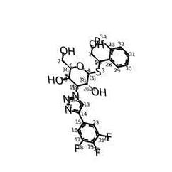 OC[C@H](S[C@@H]1O[C@H](CO)[C@H](O)[C@H](n2cc(-c3cc(F)c(F)c(F)c3)nn2)[C@H]1O)c1ccccc1Br